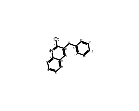 CCc1nc2ccccc2cc1Cc1ccccc1